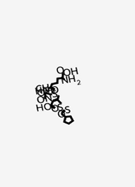 CO[C@@]1(NC(=O)CCCC(N)C(=O)O)C(=O)N2C(C(=O)O)=C(CSC(=S)OC3CCCC3)CS[C@H]21